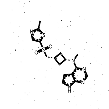 Cc1ncc(S(=O)(=O)C[C@H]2C[C@@H](N(C)c3ncnc4[nH]ccc34)C2)s1